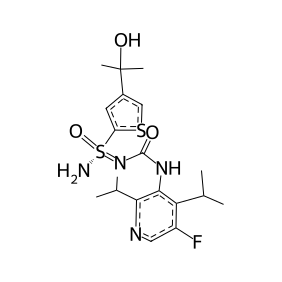 CC(C)c1ncc(F)c(C(C)C)c1NC(=O)N=[S@@](N)(=O)c1cc(C(C)(C)O)cs1